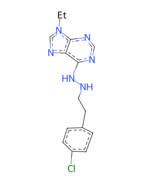 CCn1cnc2c(NNCCc3ccc(Cl)cc3)ncnc21